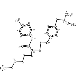 CCOC(Cc1ccc(OCCN(CCCOCC(F)(F)F)C(=O)Oc2ccc(C(C)C)cc2)cc1)C(=O)O